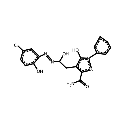 NC(=O)c1nn(-c2ccccc2)c(O)c1CC(O)N=Nc1cc(Cl)ccc1O